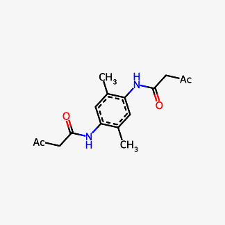 CC(=O)CC(=O)Nc1cc(C)c(NC(=O)CC(C)=O)cc1C